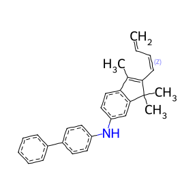 C=C/C=C\C1=C(C)c2ccc(Nc3ccc(-c4ccccc4)cc3)cc2C1(C)C